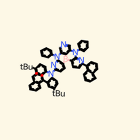 CC(C)(C)c1ccc(N(c2ccc3c(n2)N(c2ccccc2)c2cncc4c2B3c2ccc(-c3cccc5ccccc35)nc2N4c2ccccc2)c2ccc(C(C)(C)C)cc2-c2cccc3ccccc23)cc1